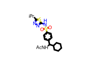 CC(=O)NC(c1ccc(S(=O)(=O)Nc2nnc(C(C)C)s2)cc1)C1CCCCC1